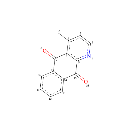 Cc1ccnc2c1C(=O)c1ccccc1C2=O